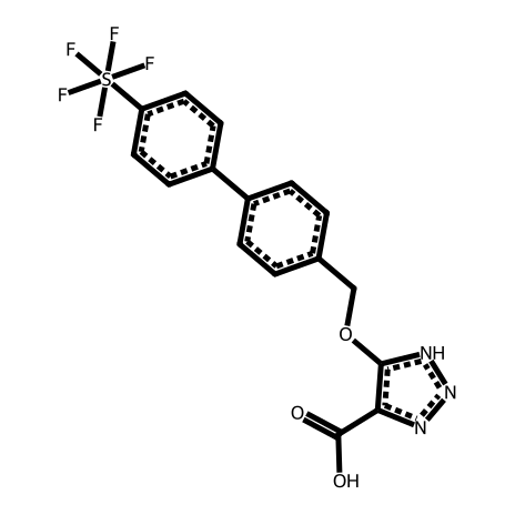 O=C(O)c1nn[nH]c1OCc1ccc(-c2ccc(S(F)(F)(F)(F)F)cc2)cc1